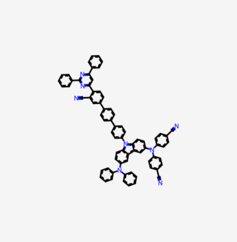 N#Cc1ccc(N(c2ccc(C#N)cc2)c2ccc3c(c2)c2cc(N(c4ccccc4)c4ccccc4)ccc2n3-c2ccc(-c3ccc(-c4ccc(-c5cc(-c6ccccc6)nc(-c6ccccc6)n5)c(C#N)c4)cc3)cc2)cc1